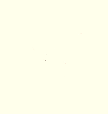 CCOC(=O)Oc1cn(Cc2ccccc2OC)c2sc(-c3ccc(OC)cc3)c(CN(C)Cc3ccccc3-c3ccccc3)c2c1=O